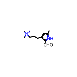 Cc1cc(CCC[N+](C)(C)C)c(C=O)[nH]1